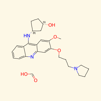 COc1cc2c(N[C@@H]3CC[C@H](O)C3)c3ccccc3nc2cc1OCCCN1CCCC1.O=CO